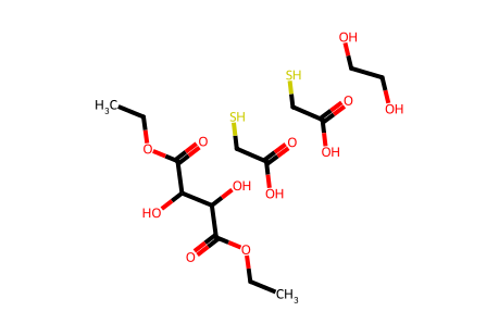 CCOC(=O)C(O)C(O)C(=O)OCC.O=C(O)CS.O=C(O)CS.OCCO